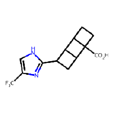 O=C(O)C12C3C4C1C1C2C3C41c1nc(C(F)(F)F)c[nH]1